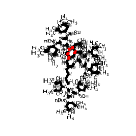 CCCCN(c1nc(N(CCCC)C2CC(C)(C)NC(C)(C)C2)nc(N(CCCCC(CCCN(c2nc(N(CCCC)C3CC(C)(C)NC(C)(C)C3)nc(N(CCCC)C3CC(C)(C)NC(C)(C)C3)n2)C2CC(C)(C)NC(C)(C)C2)CN(c2nc(N(CCCC)C3CC(C)(C)NC(C)(C)C3)nc(N(CCCC)C3CC(C)(C)NC(C)(C)C3)n2)C2CC(C)(C)NC(C)(C)C2)C2CC(C)(C)NC(C)(C)C2)n1)C1CC(C)(C)NC(C)(C)C1